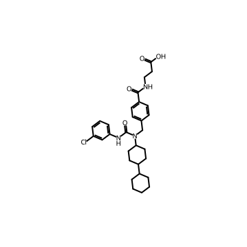 O=C(O)CCNC(=O)c1ccc(CN(C(=O)Nc2cccc(Cl)c2)C2CCC(C3CCCCC3)CC2)cc1